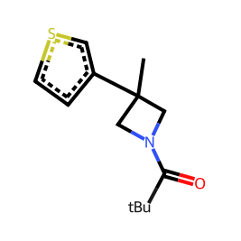 CC(C)(C)C(=O)N1CC(C)(c2ccsc2)C1